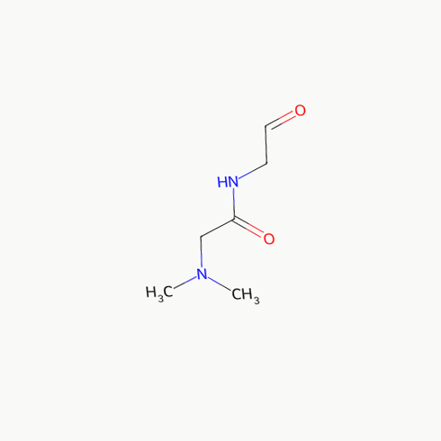 CN(C)CC(=O)NCC=O